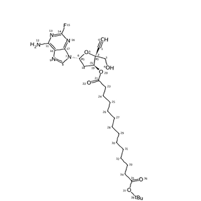 C#C[C@]1(CO)O[C@@H](n2cnc3c(N)nc(F)nc32)C[C@@H]1OC(=O)CCCCCCCCCCCCC(=O)OC(C)(C)C